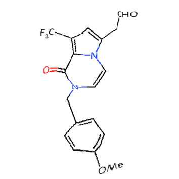 COc1ccc(Cn2ccn3c(CC=O)cc(C(F)(F)F)c3c2=O)cc1